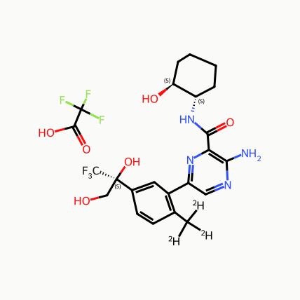 O=C(O)C(F)(F)F.[2H]C([2H])([2H])c1ccc([C@](O)(CO)C(F)(F)F)cc1-c1cnc(N)c(C(=O)N[C@H]2CCCC[C@@H]2O)n1